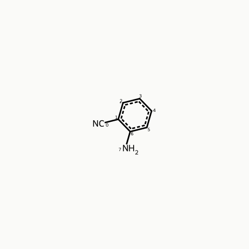 N#Cc1[c]cccc1N